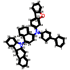 c1ccc(-c2ccc(N(c3ccc4c(c3)oc3ccccc34)c3ccc(-n4c5ccccc5c5cc6ccccc6cc54)c4ccccc34)cc2)cc1